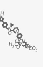 CC(C)(Oc1cccc(N2CCCC(C(=O)N(Cc3ccc(-c4cn[nH]c4)cc3)C3CC3)C2)c1)C(=O)N1CCC2(CN(C(=O)O)C2)C1